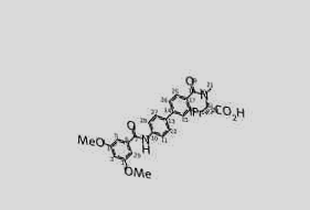 COc1cc(OC)cc(C(=O)Nc2ccc(-c3ccc(C(=O)N(C)[C@H](C(=O)O)C(C)C)cc3)cc2)c1